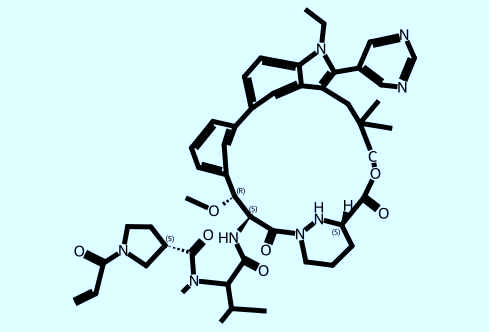 C=CC(=O)N1CC[C@H](C(=O)N(C)C(C(=O)N[C@@H]2C(=O)N3CCC[C@H](N3)C(=O)OCC(C)(C)Cc3c(-c4cncnc4)n(CC)c4ccc(cc34)-c3cccc(c3)[C@H]2OC)C(C)C)C1